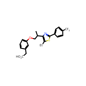 CCc1sc(-c2ccc(C(F)(F)F)cc2)nc1C(C)COc1cccc(CC(=O)O)c1